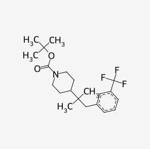 CC(C)(C)OC(=O)N1CCC(C(C)(C)Cc2cccc(C(F)(F)F)c2)CC1